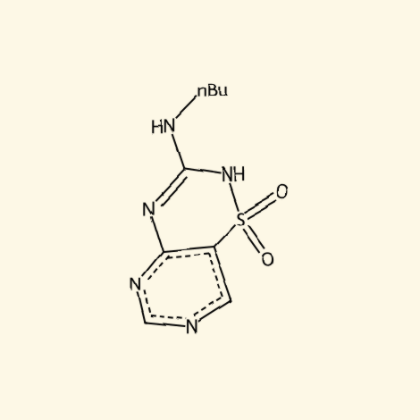 CCCCNC1=Nc2ncncc2S(=O)(=O)N1